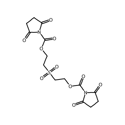 O=C1CCC(=O)N1C(=O)OCCS(=O)(=O)CCOC(=O)N1C(=O)CCC1=O